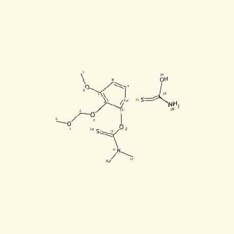 COCOc1c(OC)cccc1OC(=S)N(C)C.NC(O)=S